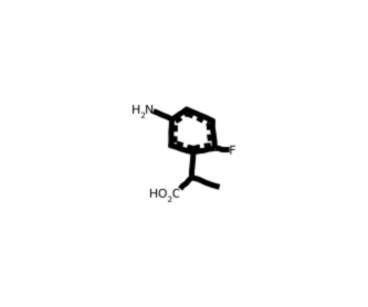 CC(C(=O)O)c1cc(N)ccc1F